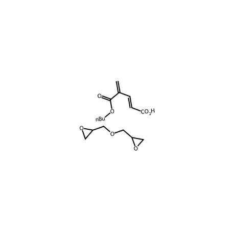 C(OCC1CO1)C1CO1.C=C(C=CC(=O)O)C(=O)OCCCC